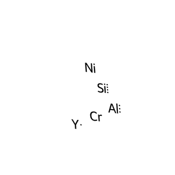 [Al].[Cr].[Ni].[Si].[Y]